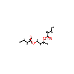 CCCC(=O)OCCC(C)OC(=O)CCC